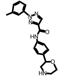 Cc1cccc(-n2ncc(C(=O)Nc3ccc(C4CNCCO4)cc3)n2)c1